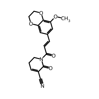 COc1cc(C=CC(=O)N2CCC=C(C#N)C2=O)cc2c1OCCO2